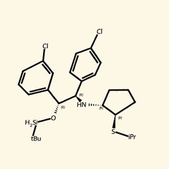 CC(C)S[C@@H]1CCC[C@H]1N[C@H](c1ccc(Cl)cc1)[C@H](O[SiH2]C(C)(C)C)c1cccc(Cl)c1